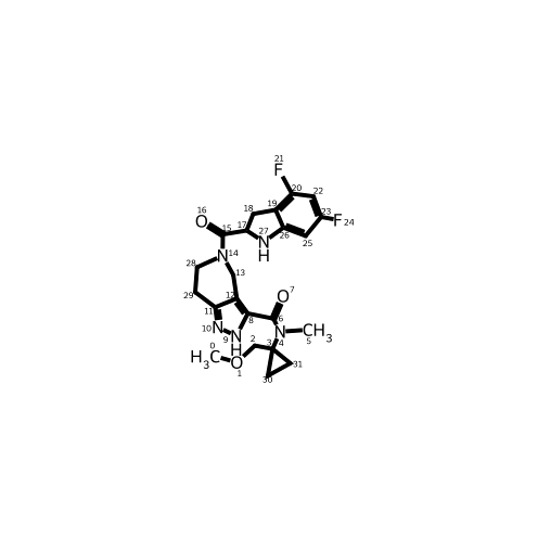 COCC1(N(C)C(=O)c2[nH]nc3c2CN(C(=O)C2Cc4c(F)cc(F)cc4N2)CC3)CC1